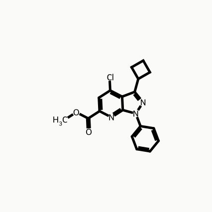 COC(=O)c1cc(Cl)c2c(C3CCC3)nn(-c3ccccc3)c2n1